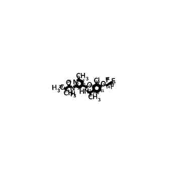 Cc1cc(C(=O)NC(C)c2ccc(OCC(F)(F)F)c(Cl)c2)cc(NC(=O)C(C)C)n1